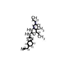 CC/C=C(Cl)\C=C(\NC(=O)Nc1nc2c(s1)C=C(CC#N)CC2)C(C)CCC